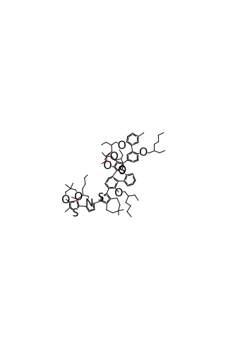 CCCCC(CC)COc1ccc(C)cc1-c1cc(-c2sc(-c3ccc(-c4sc(-c5ccc(-c6sc(C)c7c6OCC(C)(C)CO7)n5CC(CC)CCCC)c5c4CCC(C)(C)CC5)c(OCC(CC)CCCC)c3-c3ccccc3OCC(CC)CCCC)c3c2OCCO3)ccc1OCC(CC)CCCC